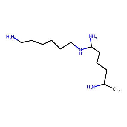 CC(N)CCCC(N)NCCCCCCN